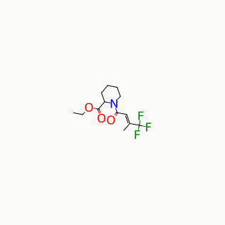 CCOC(=O)C1CCCCN1C(=O)/C=C(\C)C(F)(F)F